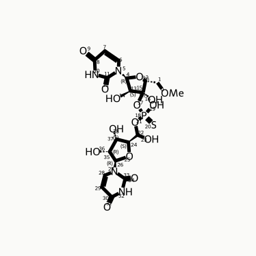 COC[C@H]1O[C@@H](n2ccc(=O)[nH]c2=O)[C@H](O)[C@]1(O)OP(O)(=S)OC(O)[C@H]1O[C@@H](n2ccc(=O)[nH]c2=O)[C@H](O)[C@@H]1O